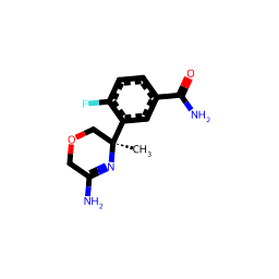 C[C@@]1(c2cc(C(N)=O)ccc2F)COCC(N)=N1